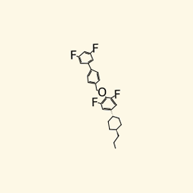 CCC[C@H]1CC[C@H](c2cc(F)c(OCc3ccc(-c4cc(F)cc(F)c4)cc3)c(F)c2)CC1